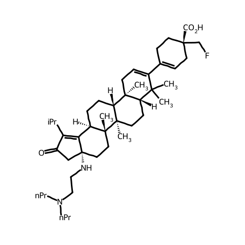 CCCN(CCC)CCN[C@@]12CC[C@]3(C)[C@H](CC[C@@H]4[C@@]5(C)CC=C(C6=CC[C@](CF)(C(=O)O)CC6)C(C)(C)[C@@H]5CC[C@]43C)C1=C(C(C)C)C(=O)C2